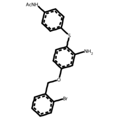 CC(=O)Nc1ccc(Sc2ccc(OCc3ccccc3Br)cc2N)cc1